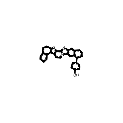 Oc1ccc(-c2cccc3cc4nc5c6sc7ccc8ccccc8c7c6ccn5c4cc23)cc1